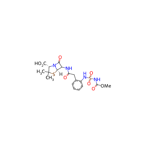 COC(=O)NS(=O)(=O)Nc1ccccc1CC(=O)NC1C(=O)N2[C@@H]1SC(C)(C)[C@@H]2C(=O)O